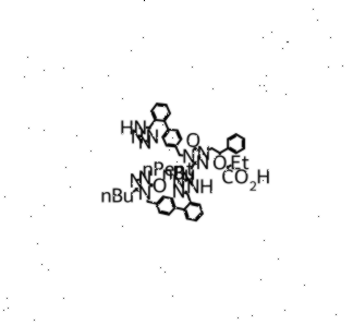 CCCCCn1nc(CCCC)n(Cc2ccc(-c3ccccc3-c3nnn[nH]3)cc2)c1=O.CCCCc1nn(CC(OC(CC)C(=O)O)c2ccccc2)c(=O)n1Cc1ccc(-c2ccccc2-c2nnn[nH]2)cc1